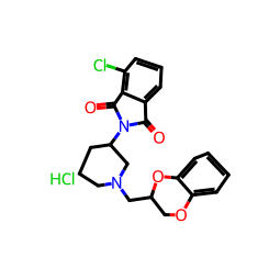 Cl.O=C1c2cccc(Cl)c2C(=O)N1C1CCCN(CC2COc3ccccc3O2)C1